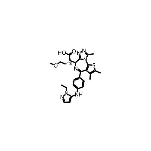 CCn1nccc1Nc1ccc(C2=NC([C@H](CCOC)C(=O)O)c3nnc(C)n3-c3sc(C)c(C)c32)cc1